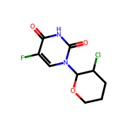 O=c1[nH]c(=O)n(C2OCCCC2Cl)cc1F